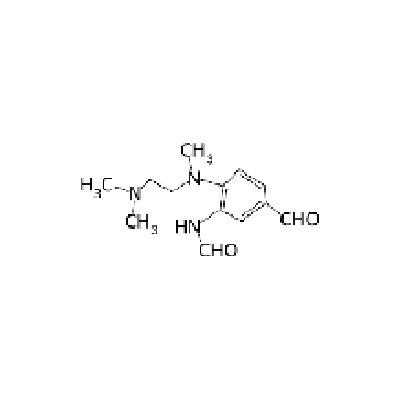 CN(C)CCN(C)c1ccc(C=O)cc1NC=O